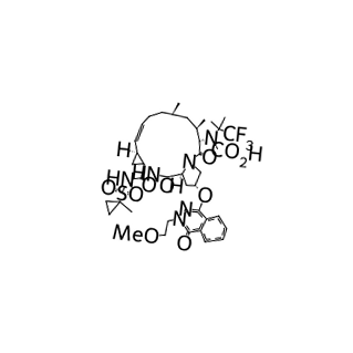 COCCn1nc(O[C@@H]2C[C@H]3C(=O)N[C@]4(C(=O)NS(=O)(=O)C5(C)CC5)C[C@H]4C=CCC[C@@H](C)C[C@@H](C)[C@H](N(C(=O)O)C(C)(C)C(F)(F)F)C(=O)N3C2)c2ccccc2c1=O